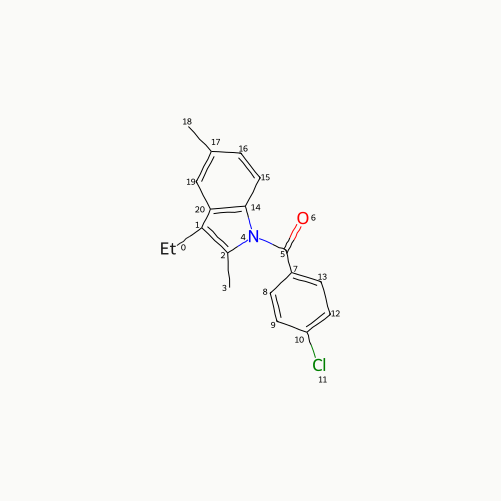 CCc1c(C)n(C(=O)c2ccc(Cl)cc2)c2ccc(C)cc12